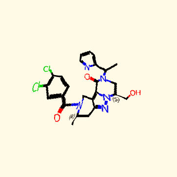 CC(c1ccccn1)N1C[C@@H](CO)n2nc3c(c2C1=O)CN(C(=O)c1ccc(Cl)c(Cl)c1)[C@H](C)C3